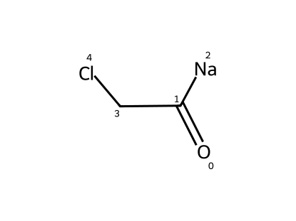 O=[C]([Na])CCl